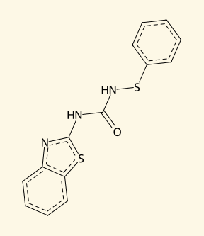 O=C(NSc1ccccc1)Nc1nc2ccccc2s1